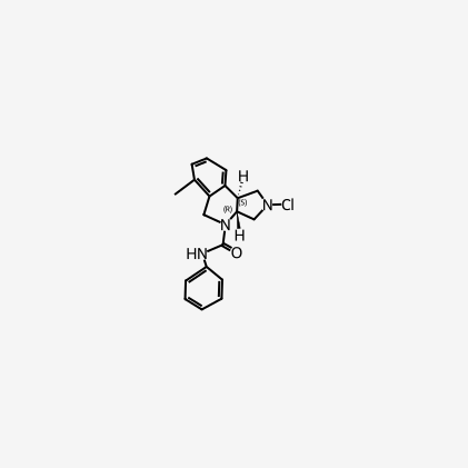 Cc1cccc2c1CN(C(=O)Nc1ccccc1)[C@H]1CN(Cl)C[C@H]21